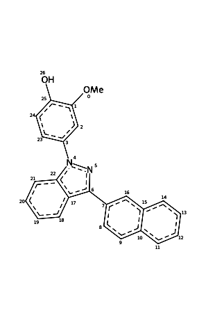 COc1cc(-n2nc(-c3ccc4ccccc4c3)c3ccccc32)ccc1O